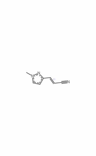 Cn1ccc(/C=C/C#N)n1